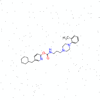 Cc1ccccc1N1CCN(CCCNC(=O)Oc2ccc(CC3CCCCC3)cn2)CC1